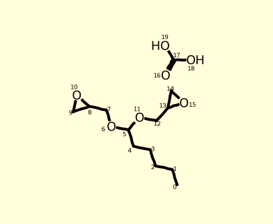 CCCCCC(OCC1CO1)OCC1CO1.O=C(O)O